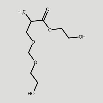 CC(COCOCCO)C(=O)OCCO